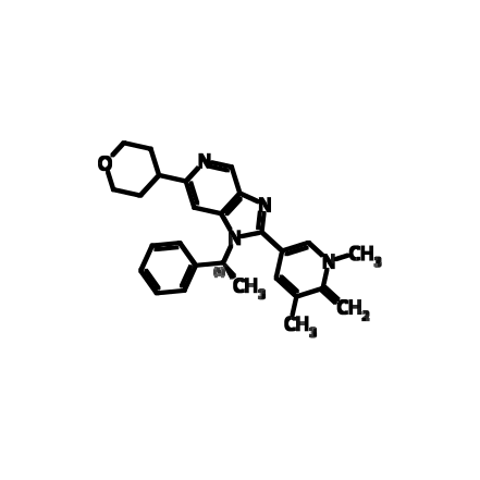 C=C1C(C)=CC(c2nc3cnc(C4CCOCC4)cc3n2[C@@H](C)c2ccccc2)=CN1C